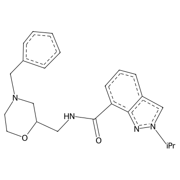 CC(C)n1cc2cccc(C(=O)NCC3CN(Cc4ccccc4)CCO3)c2n1